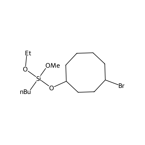 CCCC[Si](OC)(OCC)OC1CCCCC(Br)CC1